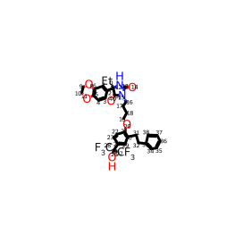 CCC1(c2ccc3c(c2)OCCO3)NC(=O)N(CCCCOc2ccc(C(O)(C(F)(F)F)C(F)(F)F)cc2CCc2ccccc2)C1=O